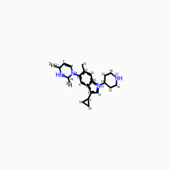 [2H]C1C=CN(c2cc3c(C4CC4)cn(C4CCNCC4)c3cc2C)C([2H])N1